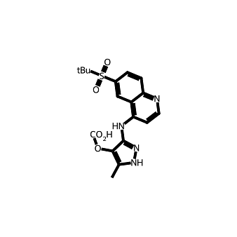 Cc1[nH]nc(Nc2ccnc3ccc(S(=O)(=O)C(C)(C)C)cc23)c1OC(=O)O